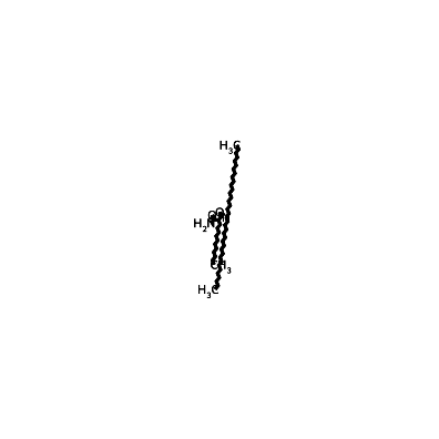 CCCCCCCCCCCCCCCCCCN(CCCCCCCCCCCCCCCCCC)C(=O)C(CCCCCCCCCCC)C(N)=O